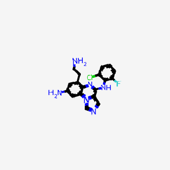 NCCc1cc(N)cc2c1nc(Nc1c(F)cccc1Cl)c1cncn12